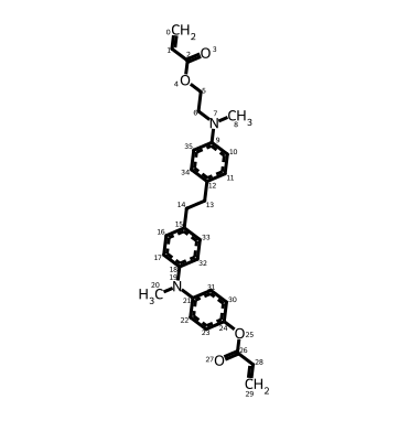 C=CC(=O)OCCN(C)c1ccc(CCc2ccc(N(C)c3ccc(OC(=O)C=C)cc3)cc2)cc1